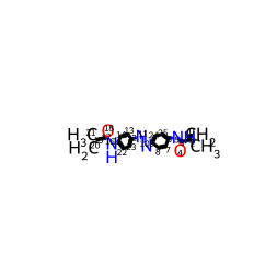 C=C(C)C(=O)Nc1ccc(/N=N/c2ccc(NC(=O)C(=C)C)cc2)cc1